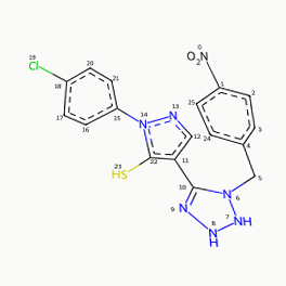 O=[N+]([O-])c1ccc(CN2NNN=C2c2cnn(-c3ccc(Cl)cc3)c2S)cc1